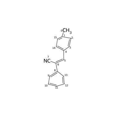 Cc1ccc(/C=C(\C#N)c2ccccc2)cc1